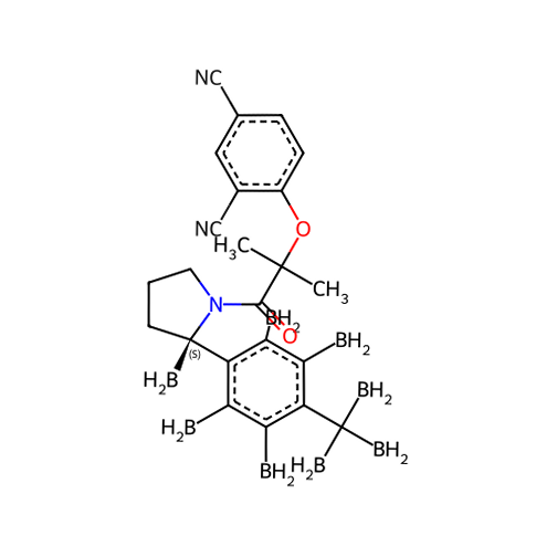 Bc1c(B)c([C@]2(B)CCCN2C(=O)C(C)(C)Oc2ccc(C#N)cc2C#N)c(B)c(B)c1C(B)(B)B